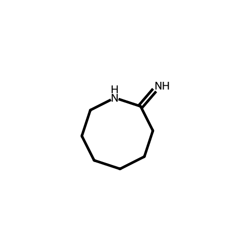 N=C1CCCCCCN1